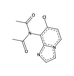 CC(=O)N(C(C)=O)c1c(Cl)ccn2ccnc12